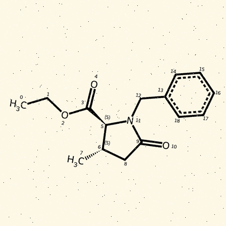 CCOC(=O)[C@@H]1[C@@H](C)CC(=O)N1Cc1ccccc1